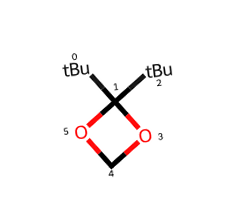 CC(C)(C)C1(C(C)(C)C)OCO1